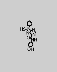 O=C(Nc1ccc(O)cc1)c1ncnc2c1nc(S)n2-c1ccccc1